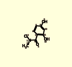 CN(Cl)C(=O)c1ccc(O)cc1O